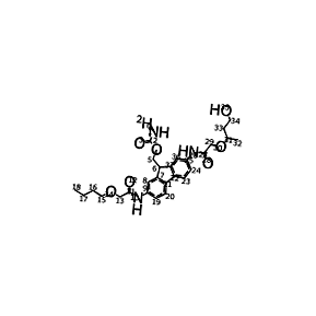 [2H]NC(=O)OCC1c2cc(NC(=O)COCCCC)ccc2-c2ccc(NC(=O)COC(C)CCO)cc21